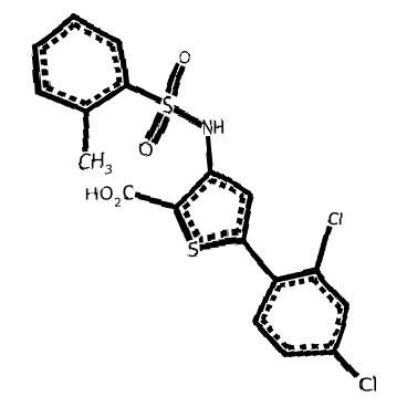 Cc1ccccc1S(=O)(=O)Nc1cc(-c2ccc(Cl)cc2Cl)sc1C(=O)O